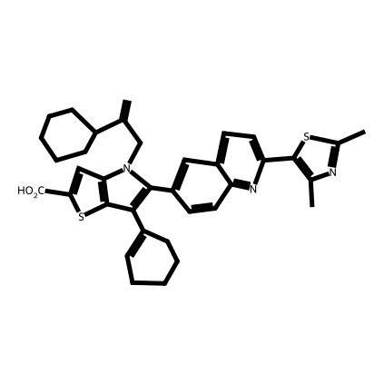 C=C(Cn1c(-c2ccc3nc(-c4sc(C)nc4C)ccc3c2)c(C2=CCCCC2)c2sc(C(=O)O)cc21)C1CCCCC1